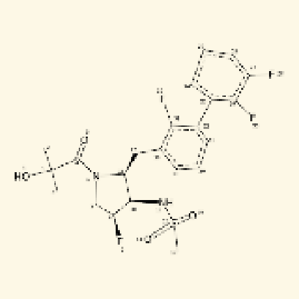 CC(C)(O)C(=O)N1C[C@H](F)[C@H](NS(C)(=O)=O)[C@@H]1Cc1cccc(-c2cccc(F)c2F)c1F